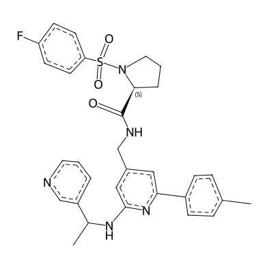 Cc1ccc(-c2cc(CNC(=O)[C@@H]3CCCN3S(=O)(=O)c3ccc(F)cc3)cc(NC(C)c3cccnc3)n2)cc1